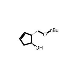 CCCCOC[C@H]1C=CC[C@@H]1O